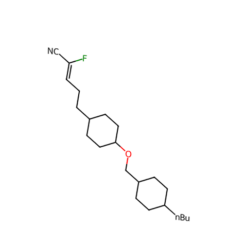 CCCCC1CCC(COC2CCC(CCC=C(F)C#N)CC2)CC1